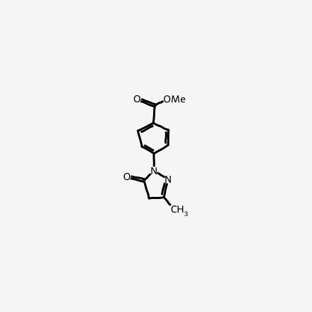 COC(=O)c1ccc(N2N=C(C)CC2=O)cc1